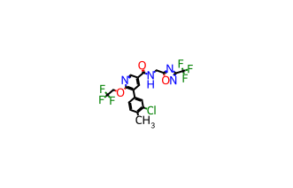 Cc1ccc(-c2cc(C(=O)NCc3nc(C(F)(F)F)no3)cnc2OCC(F)(F)F)cc1Cl